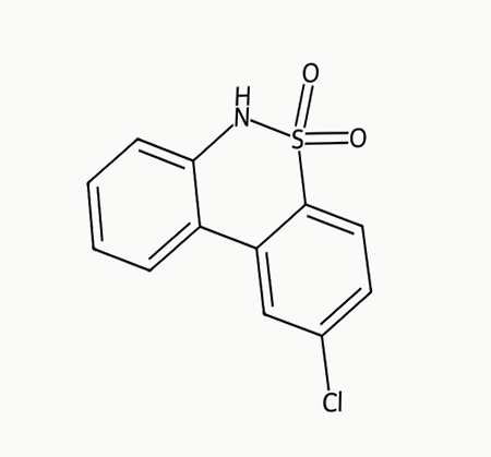 O=S1(=O)Nc2ccccc2-c2cc(Cl)ccc21